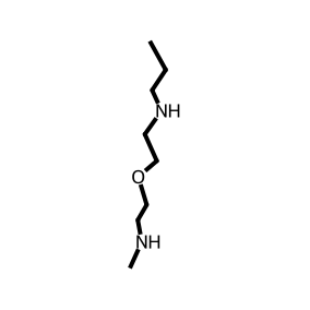 CCCNCCOCCNC